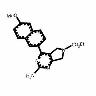 CCOC(=O)N1Cc2nc(N)nc(-c3ccc4cc(OC)ccc4c3)c2C1